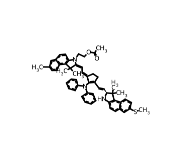 CSc1ccc2c3c(ccc2c1)N[C@@H](/C=C/C1=C(N(c2ccccc2)c2ccccc2)C(=C/C=C2/N(CCOC(C)=O)c4ccc5cc(C)ccc5c4C2(C)C)/CC1)C3(C)C